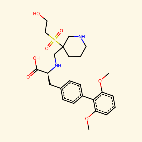 COc1cccc(OC)c1-c1ccc(C[C@H](NCC2(S(=O)(=O)CCO)CCCNC2)C(=O)O)cc1